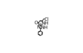 O=C1C=C(CCl)NC2NC(c3ccccc3)=NN12